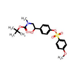 COc1ccc(S(=O)(=O)Oc2ccc(C(O)CN(C)C(=O)OC(C)(C)C)cc2)cc1